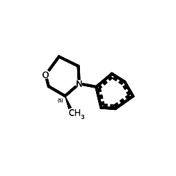 C[C@H]1COCCN1c1ccccc1